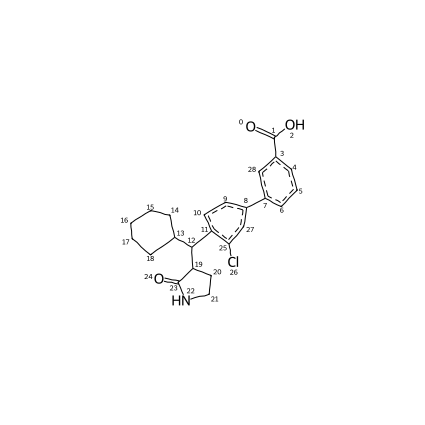 O=C(O)c1cccc(-c2ccc(C(C3CCCCC3)C3CCNC3=O)c(Cl)c2)c1